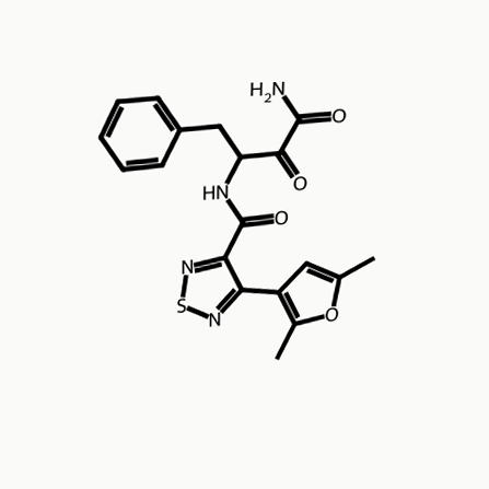 Cc1cc(-c2nsnc2C(=O)NC(Cc2ccccc2)C(=O)C(N)=O)c(C)o1